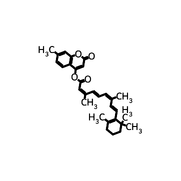 CC(C=CC1=C(C)CCCC1(C)C)=CC=CC(C)=CC(=O)Oc1cc(=O)oc2cc(C)ccc12